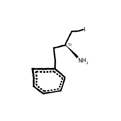 N[C@H](CI)Cc1ccccc1